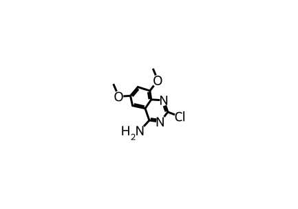 COc1cc(OC)c2nc(Cl)nc(N)c2c1